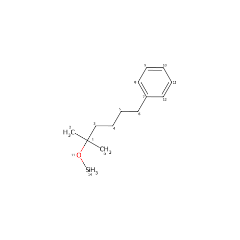 CC(C)(CCCCc1ccccc1)O[SiH3]